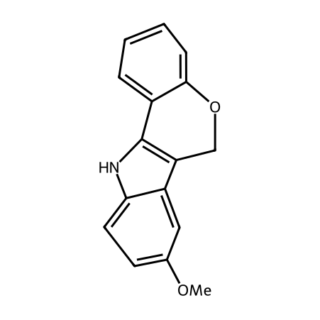 COc1ccc2[nH]c3c(c2c1)COc1ccccc1-3